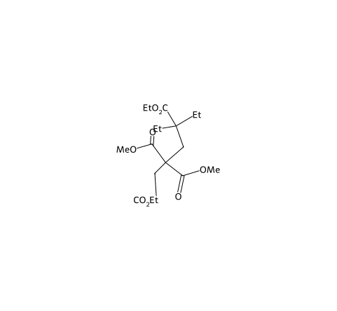 CCOC(=O)CC(CC(CC)(CC)C(=O)OCC)(C(=O)OC)C(=O)OC